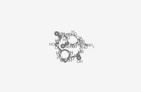 CCCC[C@H]1C(=O)N(C)[C@@H](CCCC)C(=O)N[C@H]2CCC(=O)NCCCC[C@H](NC(=O)[C@H](Cc3c[nH]c4ccccc34)NC(=O)[C@@H]3C[C@@H](O)CN3C(=O)[C@@H]3CCCCNC(=O)C[C@H](NC(=O)[C@H](C)N(C)C(=O)[C@H](Cc4ccc(O)cc4)NC(=O)CSC[C@@H](C(=O)NCC(N)=O)NC2=O)C(=O)N2CCC[C@H]2C(=O)N[C@@H](C)C(=O)N3)C(=O)N[C@@H](Cc2c[nH]c3ccccc23)C(=O)N1C